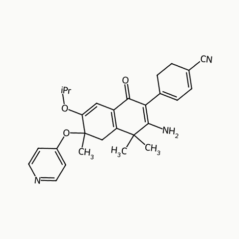 CC(C)OC1=CC2=C(CC1(C)Oc1ccncc1)C(C)(C)C(N)=C(C1=CC=C(C#N)CC1)C2=O